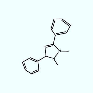 CN1C(c2ccccc2)=CC(c2ccccc2)N1C